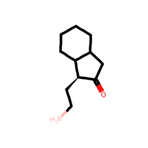 BCC[C@@H]1C(=O)CC2CCCCC21